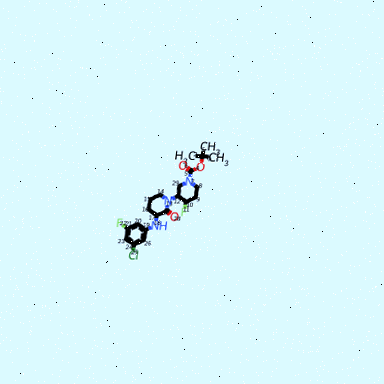 CC(C)(C)OC(=O)N1CCC(F)C(N2CCCC(Nc3cc(F)cc(Cl)c3)C2=O)C1